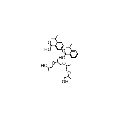 CC(C)c1ccccc1C(=O)O.CC(C)c1ccccc1C(=O)O.CC(O)COC(C)COC(C)COC(C)CO